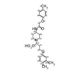 Cc1ccc(OCC(=O)NC2CCN(C(CCOc3ccc(C)c(C)c3)C(=O)O)CC2)cc1